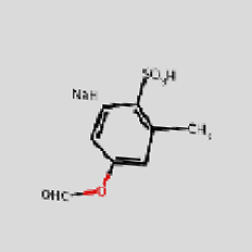 Cc1cc(OC=O)ccc1S(=O)(=O)O.[NaH]